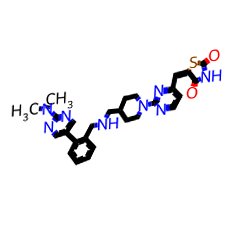 CN(C)c1ncc(-c2ccccc2CNCC2CCN(c3nccc(/C=C4/SC(=O)NC4=O)n3)CC2)cn1